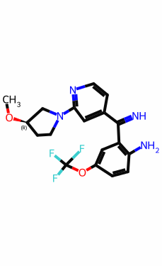 CO[C@@H]1CCN(c2cc(C(=N)c3cc(OC(F)(F)F)ccc3N)ccn2)C1